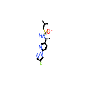 CC(C)C[S@+]([O-])N[C@H](C)c1ccc(-n2cc(F)cn2)nc1